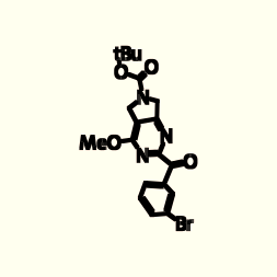 COc1nc(C(=O)c2cccc(Br)c2)nc2c1CN(C(=O)OC(C)(C)C)C2